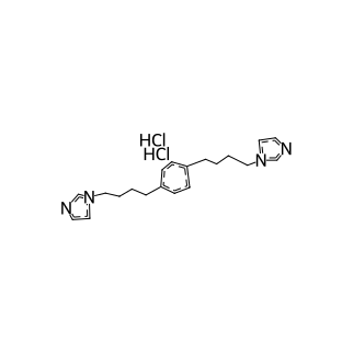 Cl.Cl.c1cn(CCCCc2ccc(CCCCn3ccnc3)cc2)cn1